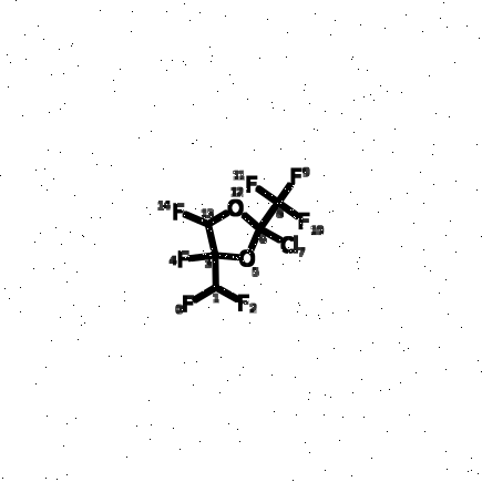 FC(F)C1(F)OC(Cl)(C(F)(F)F)OC1F